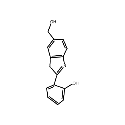 OCc1ccc2nc(-c3ccccc3O)sc2c1